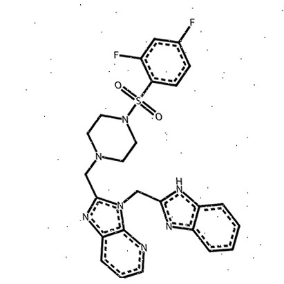 O=S(=O)(c1ccc(F)cc1F)N1CCN(Cc2nc3cccnc3n2Cc2nc3ccccc3[nH]2)CC1